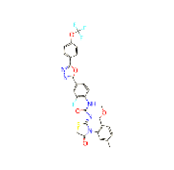 COCc1ccc(C)cc1N1C(=O)CS/C1=N\C(=O)Nc1ccc(-c2nnc(-c3ccc(OC(F)(F)F)cc3)o2)cc1F